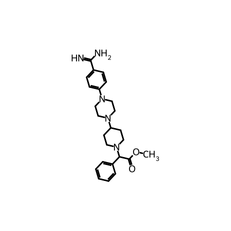 COC(=O)C(c1ccccc1)N1CCC(N2CCN(c3ccc(C(=N)N)cc3)CC2)CC1